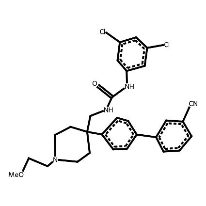 COCCN1CCC(CNC(=O)Nc2cc(Cl)cc(Cl)c2)(c2ccc(-c3cccc(C#N)c3)cc2)CC1